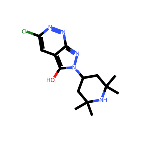 CC1(C)CC(n2nc3nnc(Cl)cc3c2O)CC(C)(C)N1